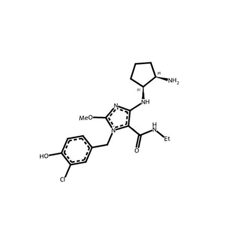 CCNC(=O)c1c(N[C@H]2CCC[C@H]2N)nc(OC)n1Cc1ccc(O)c(Cl)c1